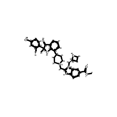 COC(=O)c1ccc2nc(CN3CCC(c4cccc5c4OC(C)(c4ccc(Cl)cc4F)C5=O)CC3)n(C[C@@H]3CCO3)c2c1